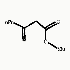 C=C(CCC)CC(=O)OC(C)(C)C